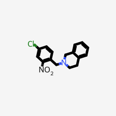 O=[N+]([O-])c1cc(Cl)ccc1CN1CCc2ccccc2C1